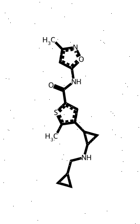 Cc1cc(NC(=O)c2cc(C3CC3NCC3CC3)c(C)s2)on1